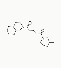 CC1CCCN(C(=O)CCCC(=O)N2CCC3CCCCC3C2)C1